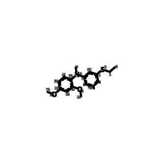 CCSc1cncc(N(C)c2ccc(OC)cc2OC)c1